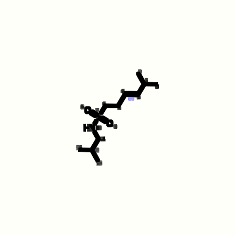 CC(C)/C=C/CCS(=O)(=O)NCC(C)C